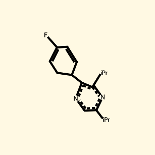 CC(C)c1cnc(C2C=CC(F)=CC2)c(C(C)C)n1